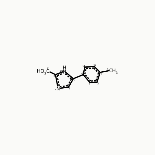 Cc1ccc(-c2cnc(C(=O)O)[nH]2)cc1